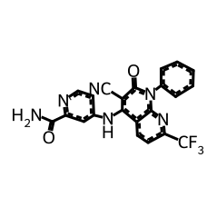 N#Cc1c(Nc2ccnc(C(N)=O)c2)c2ccc(C(F)(F)F)nc2n(-c2ccccc2)c1=O